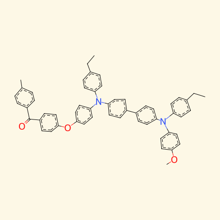 CCc1ccc(N(c2ccc(OC)cc2)c2ccc(-c3ccc(N(c4ccc(CC)cc4)c4ccc(Oc5ccc(C(=O)c6ccc(C)cc6)cc5)cc4)cc3)cc2)cc1